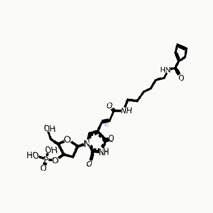 O=C(/C=C/c1cn(C2CC(OP(=O)(O)O)C(CO)O2)c(=O)[nH]c1=O)NCCCCCCNC(=O)C1=CC=CC1